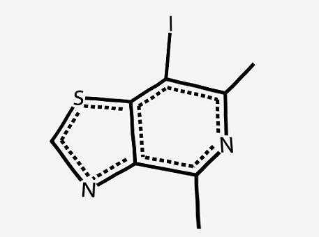 Cc1nc(C)c2ncsc2c1I